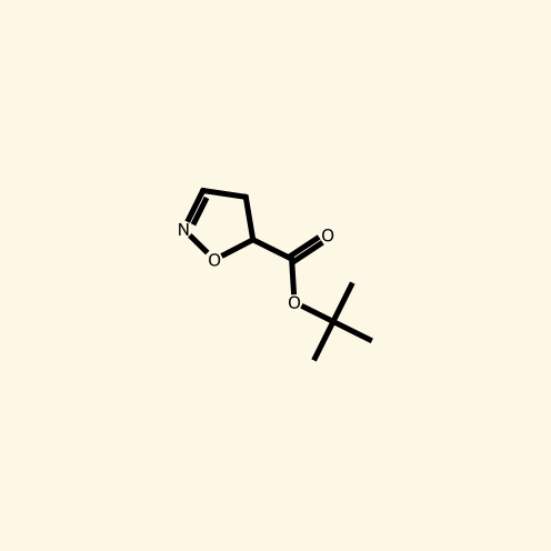 CC(C)(C)OC(=O)C1CC=NO1